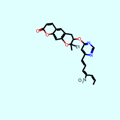 C\C=C/C(=C\C=C\c1cc(OC2Cc3cc4ccc(=O)oc4cc3OC2(C)CC)ncn1)[N+](=O)[O-]